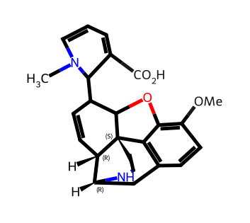 COc1ccc2c3c1OC1C(C4C(C(=O)O)=CC=CN4C)C=C[C@H]4[C@@H](C2)NCC[C@]314